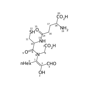 CCCCCCC(=C(O)C=O)N(CC(=O)O)C(=O)C(CS)NC(=O)CCC(N)C(=O)O